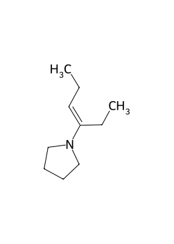 CCC=C(CC)N1CCCC1